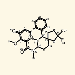 COc1c2n(ccc1=O)N1C(CCC3(CCC(F)(F)C3)C1c1ccccc1)N(C)C2=O